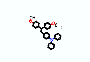 COc1ccc(C(=Cc2ccc(N(c3ccccc3)c3ccccc3)cc2)c2ccc(OC)cc2)cc1